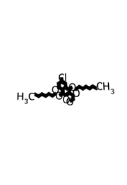 CCCCCCCC(=O)Oc1c2c(c(OC(=O)CCCCCCC)c3ccc(Cl)cc13)OOCC2